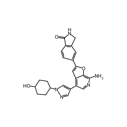 Nc1ncc(-c2cnn(C3CCC(O)CC3)c2)c2cc(-c3ccc4c(c3)CNC4=O)oc12